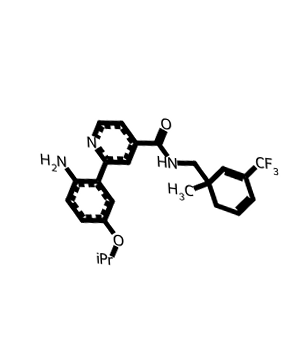 CC(C)Oc1ccc(N)c(-c2cc(C(=O)NCC3(C)C=C(C(F)(F)F)C=CC3)ccn2)c1